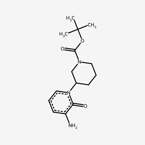 CC(C)(C)OC(=O)N1CCCC(n2cccc(N)c2=O)C1